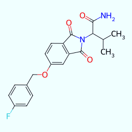 CC(C)C(C(N)=O)N1C(=O)c2ccc(OCc3ccc(F)cc3)cc2C1=O